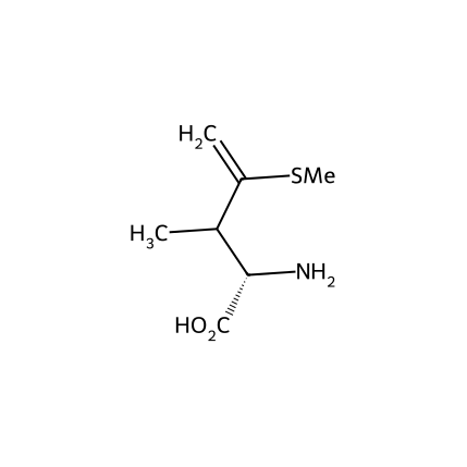 C=C(SC)C(C)[C@H](N)C(=O)O